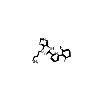 NCCCOc1ncncc1NC(=O)c1cccc(-c2c(F)cccc2F)n1